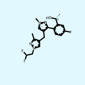 Cc1nn(CC(F)F)cc1Cc1cn(C)nc1-c1ccc(F)cc1[C@@H](C)O